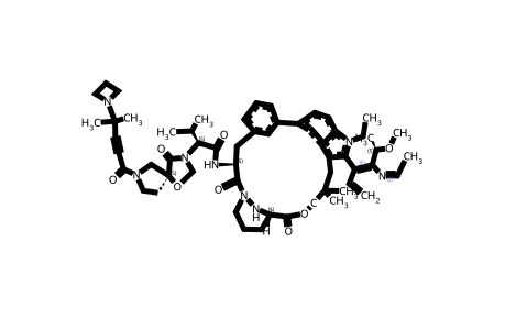 C=C/C(=C(\N=C/C)[C@H](C)OC)c1c2c3cc(ccc3n1CC)-c1cccc(c1)C[C@H](NC(=O)[C@H](C(C)C)N1CO[C@]3(CCN(C(=O)C#CC(C)(C)N4CCC4)C3)C1=O)C(=O)N1CCC[C@H](N1)C(=O)OCC(C)(C)C2